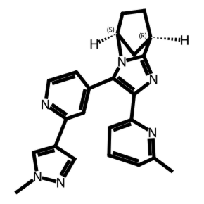 Cc1cccc(-c2nc3n(c2-c2ccnc(-c4cnn(C)c4)c2)[C@H]2CC[C@@H]3C2)n1